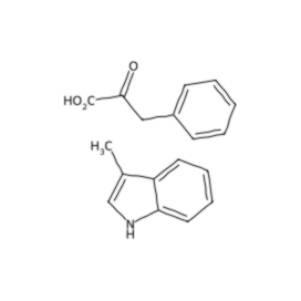 Cc1c[nH]c2ccccc12.O=C(O)C(=O)Cc1ccccc1